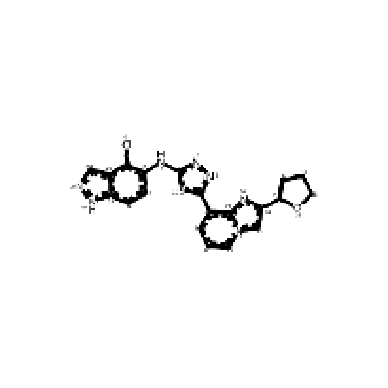 Clc1c(Nc2nnc(-c3cccn4cc(C5CCCO5)nc34)s2)ccc2[nH]ncc12